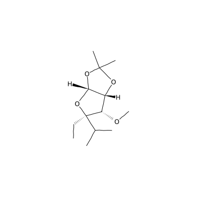 CC[C@]1(C(C)C)O[C@@H]2OC(C)(C)O[C@@H]2[C@@H]1OC